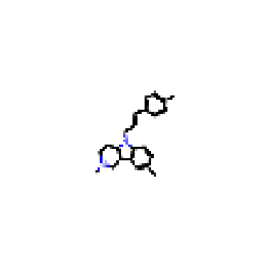 Cc1ccc(C=CCn2c3c(c4cc(C)ccc42)CN(C)CC3)cc1